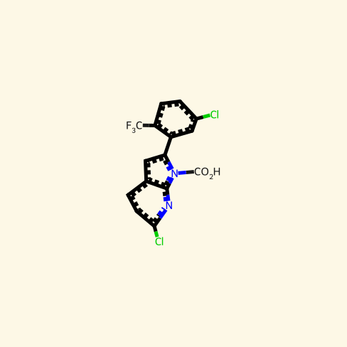 O=C(O)n1c(-c2cc(Cl)ccc2C(F)(F)F)cc2ccc(Cl)nc21